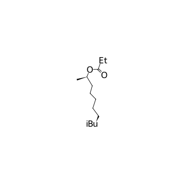 CCC(=O)O[C@H](C)CCCCC[C@H](C)CC